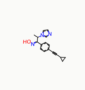 CC(/C(=N\O)c1ccc(C#CC2CC2)cc1)n1ccnc1